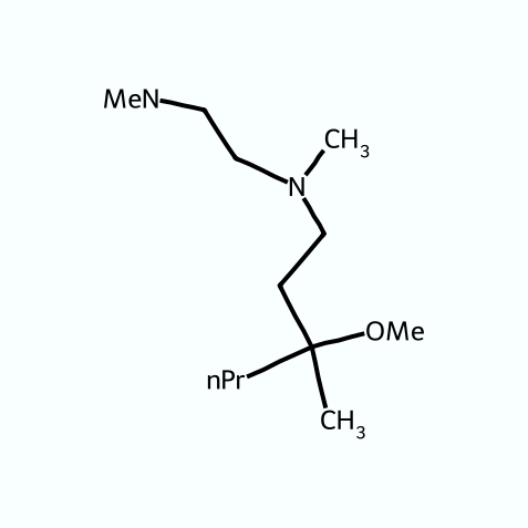 CCCC(C)(CCN(C)CCNC)OC